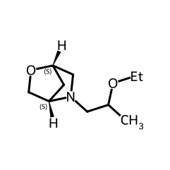 CCOC(C)CN1C[C@@H]2C[C@H]1CO2